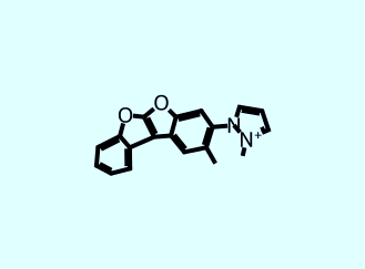 Cc1cc2c(cc1-n1ccc[n+]1C)oc1oc3ccccc3c12